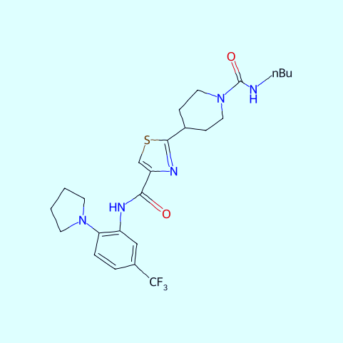 CCCCNC(=O)N1CCC(c2nc(C(=O)Nc3cc(C(F)(F)F)ccc3N3CCCC3)cs2)CC1